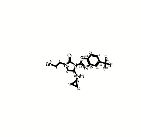 O=C1N(CCBr)CC(NC2CC2)N1c1nc2cc(C(F)(F)F)ccc2s1